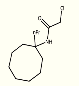 CCCC1(NC(=O)CCl)CCCCCCC1